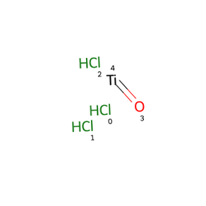 Cl.Cl.Cl.[O]=[Ti]